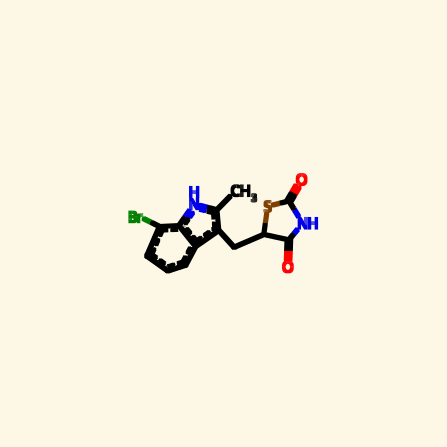 Cc1[nH]c2c(Br)cccc2c1CC1SC(=O)NC1=O